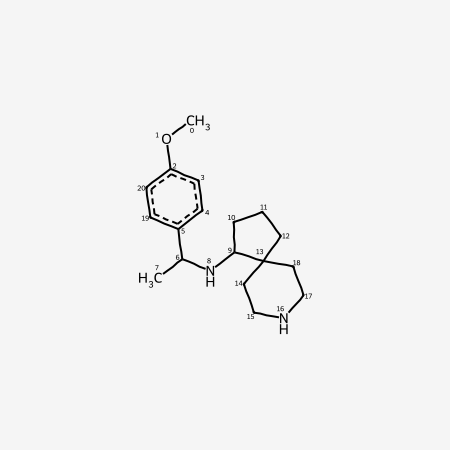 COc1ccc(C(C)NC2CCCC23CCNCC3)cc1